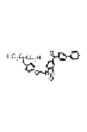 O=C(c1ccc(-c2ccccc2)cc1)c1ccc2c(c1)sc(=O)n2CCOc1ccc(CC(C(=O)O)C(=O)O)cc1